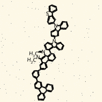 C=Nc1c(/N=C\C)c2c(-c3cccc4c3c3ccccc3n4-c3ccc4c(c3)c3ccccc3n4-c3ccc4sc5ccccc5c4c3)cccc2c2ccc(-c3cccc(-c4ccc5c6ccccc6c6ccccc6c5c4)c3)cc12